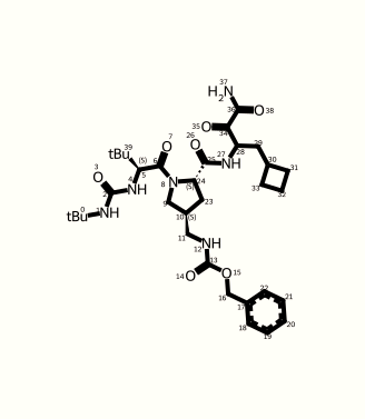 CC(C)(C)NC(=O)N[C@H](C(=O)N1C[C@H](CNC(=O)OCc2ccccc2)C[C@H]1C(=O)NC(CC1CCC1)C(=O)C(N)=O)C(C)(C)C